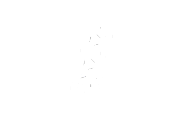 Cc1cc(C(C)(C)c2ccc(/C(=C/C(C)(O)C(F)(F)F)CC(O)(C(F)(F)F)C(F)(F)F)cc2C)ccc1O